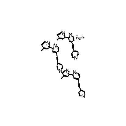 Cc1ccnc(-c2cc(C#Cc3ccncc3)ccn2)c1.Cc1ccnc(-c2cc(C#Cc3ccncc3)ccn2)c1.Cc1ccnc(-c2cc(C#Cc3ccncc3)ccn2)c1.[Fe+3]